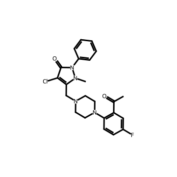 CC(=O)c1cc(F)ccc1N1CCN(Cc2c(Cl)c(=O)n(-c3ccccc3)n2C)CC1